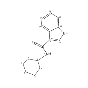 O=C(NC1CCCCC1)c1csc2ccccc12